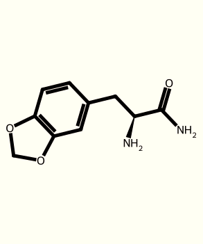 NC(=O)[C@@H](N)Cc1ccc2c(c1)OCO2